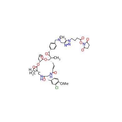 COc1ccc(C[C@H]2NC(=O)/C=C/C[C@@H]([C@H](C)[C@H]3O[C@@H]3c3ccc(CN(C)Cc4cn(CCCC(=O)ON5C(=O)CCC5=O)nn4)cc3)OC(=O)[C@H](CC(C)C)OC(=O)C(C)(C)CNC2=O)cc1Cl